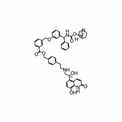 O=C(NC(c1ccccc1)c1cccc(OCc2cccc(C(=O)OCc3ccc(CCNC[C@@H](O)c4ccc(O)c5[nH]c(=O)ccc45)cc3)c2)c1)O[C@H]1CN2CCC1CC2